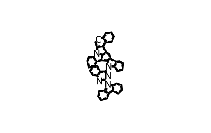 c1ccc2c(c1)ccc1c2c2cc3c4ccccc4n(-c4nc(-n5c6ccccc6c6ccccc65)nc5ccccc45)c3c3c4ccccc4n1c23